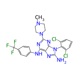 CN1CCN(c2nc(Nc3ccc(C(F)(F)F)cc3)c3nc(N)n(-c4c(Cl)cccc4Cl)c3n2)CC1